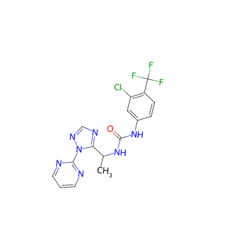 CC(NC(=O)Nc1ccc(C(F)(F)F)c(Cl)c1)c1ncnn1-c1ncccn1